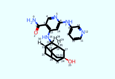 NC(=O)c1cnc(Nc2cccnc2)cc1N[C@@H]1[C@@H]2CC3C[C@H]1C[C@@](O)(C3)C2